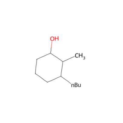 CCCCC1CCCC(O)C1C